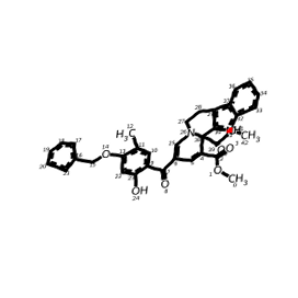 COC(=O)C1=CC(C(=O)c2cc(C)c(OCc3ccccc3)cc2O)=CN2CCc3c([nH]c4ccccc34)C12C(=O)OC